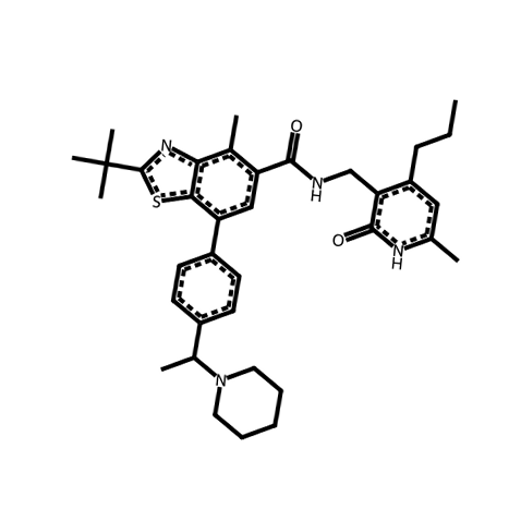 CCCc1cc(C)[nH]c(=O)c1CNC(=O)c1cc(-c2ccc(C(C)N3CCCCC3)cc2)c2sc(C(C)(C)C)nc2c1C